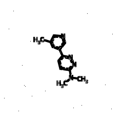 Cc1cncc(-c2ccc(N(C)C)nn2)c1